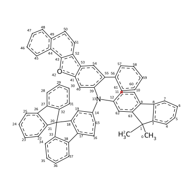 CC1(C)c2ccccc2-c2ccc(N(c3ccc4c(c3)C3(c5ccccc5-c5ccccc53)c3ccccc3-4)c3cc4oc5c6ccccc6ccc5c4cc3-c3ccccc3)cc21